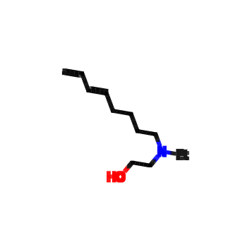 C=CC=CCCCCN(CC)CCO